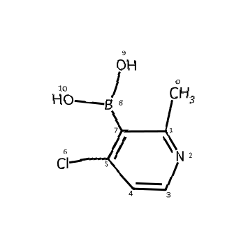 Cc1nccc(Cl)c1B(O)O